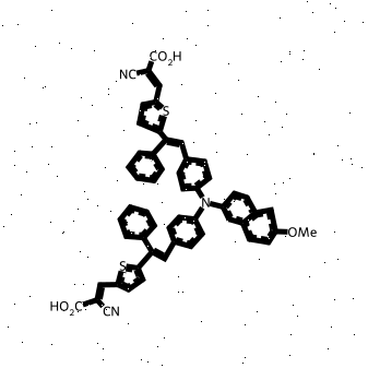 COc1ccc2cc(N(c3ccc(/C=C(\c4ccccc4)c4ccc(/C=C(\C#N)C(=O)O)s4)cc3)c3ccc(/C=C(\c4ccccc4)c4ccc(/C=C(\C#N)C(=O)O)s4)cc3)ccc2c1